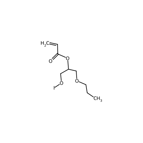 C=CC(=O)OC(COI)COCCC